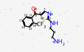 NCCCNc1ncc(C(=O)c2ccccc2C(F)(F)F)s1